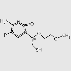 COCCO[C@H](CS)n1cc(F)c(N)nc1=O